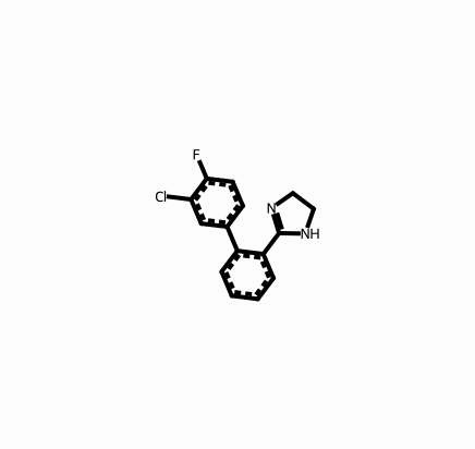 Fc1ccc(-c2ccccc2C2=NCCN2)cc1Cl